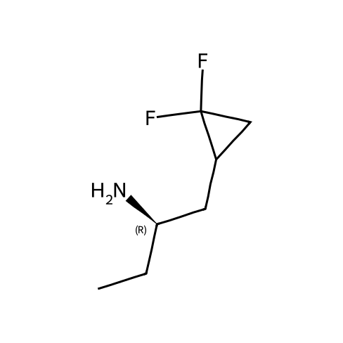 CC[C@@H](N)CC1CC1(F)F